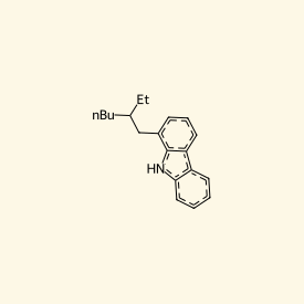 CCCCC(CC)Cc1cccc2c1[nH]c1ccccc12